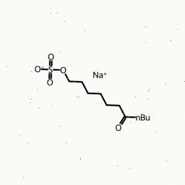 CCCCC(=O)CCCCCCOS(=O)(=O)[O-].[Na+]